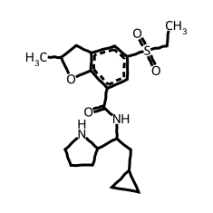 CCS(=O)(=O)c1cc2c(c(C(=O)NC(CC3CC3)C3CCCN3)c1)OC(C)C2